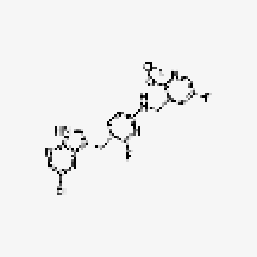 COc1ncc(F)cc1CNc1ccc(Cc2c[nH]c3ncc(Br)cc23)c(F)n1